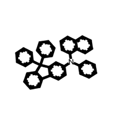 c1ccc(N(c2ccc3c(c2)C(c2ccccc2)(c2ccccc2)c2ccccc2-3)c2cccc3ccccc23)cc1